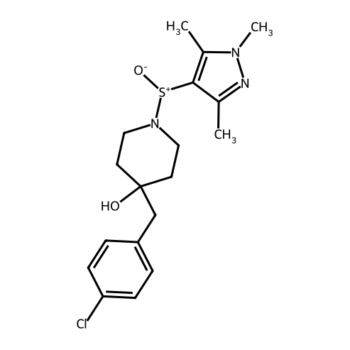 Cc1nn(C)c(C)c1[S+]([O-])N1CCC(O)(Cc2ccc(Cl)cc2)CC1